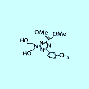 COCN(COC)c1nc(-c2cccc(C)c2)nc(N(CCO)CCO)n1